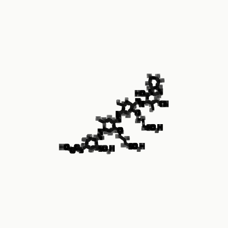 Cc1cc(N=Nc2c(C)c(C#N)c3nc4ccccc4n3c2O)c(OCCCS(=O)(=O)O)cc1N=Nc1cc(C)c(N=Nc2ccc(SOOO)cc2S(=O)(=O)O)cc1OCCCS(=O)(=O)O